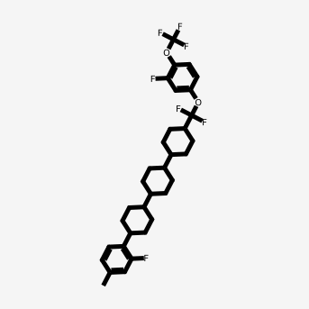 Cc1ccc(C2CCC(C3CCC(C4CCC(C(F)(F)Oc5ccc(OC(F)(F)F)c(F)c5)CC4)CC3)CC2)c(F)c1